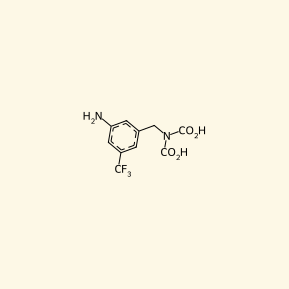 Nc1cc(CN(C(=O)O)C(=O)O)cc(C(F)(F)F)c1